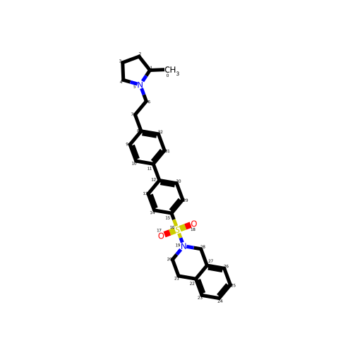 CC1CCCN1CCc1ccc(-c2ccc(S(=O)(=O)N3CCc4ccccc4C3)cc2)cc1